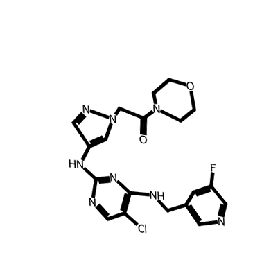 O=C(Cn1cc(Nc2ncc(Cl)c(NCc3cncc(F)c3)n2)cn1)N1CCOCC1